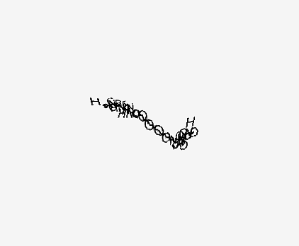 CN(CCCNc1nc(Nc2ccc(OCCOCCOCCOCCNc3cccc4c3C(=O)N(C3CCC(=O)NC3=O)C4=O)cc2)ncc1Br)C(=O)C1CCC1